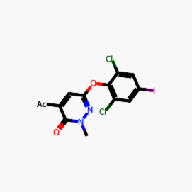 CC(=O)c1cc(Oc2c(Cl)cc(I)cc2Cl)nn(C)c1=O